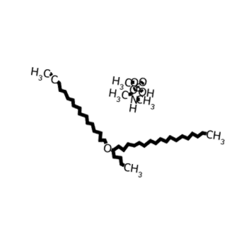 CCCCCCCCCCCCCCCCCCOC(CCCC)CCCCCCCCCCCCCCCCCC.CCNC.COS(=O)(=O)O